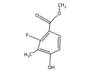 COC(=O)c1ccc(O)c(C)c1F